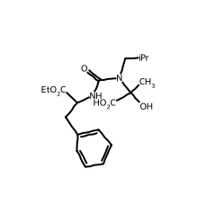 CCOC(=O)C(Cc1ccccc1)NC(=O)N(CC(C)C)C(C)(O)C(=O)O